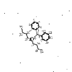 CC(c1ccccc1)c1ccccc1.CCCCOCCCC